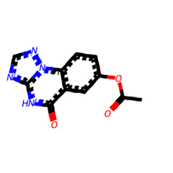 CC(=O)Oc1ccc2c(c1)c(=O)[nH]c1ncnn12